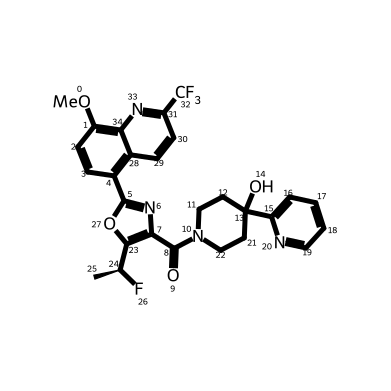 COc1ccc(-c2nc(C(=O)N3CCC(O)(c4ccccn4)CC3)c([C@H](C)F)o2)c2ccc(C(F)(F)F)nc12